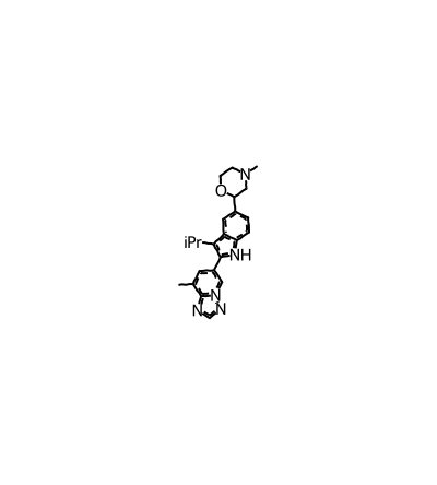 Cc1cc(-c2[nH]c3ccc(C4CN(C)CCO4)cc3c2C(C)C)cn2ncnc12